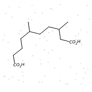 CC(CCCC(=O)O)CCC(C)CC(=O)O